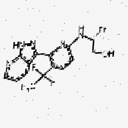 CC[C@H](CO)Nc1ccc(C(C)(F)F)c(-c2n[nH]c3ncccc23)n1